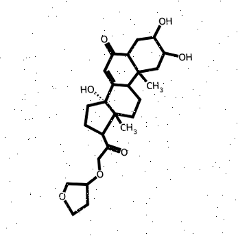 CC12CC(O)C(O)CC1C(=O)C=C1C2CCC2(C)C(C(=O)COC3CCOC3)CC[C@@]12O